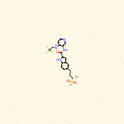 CS(=O)(=O)[C@@H](Cl)CCc1ccc2[nH]c(C(=O)Nc3cnccc3NCC(F)(F)F)cc2c1